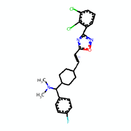 CN(C)C(c1ccc(F)cc1)C1CCC(/C=C/c2nc(-c3cccc(Cl)c3Cl)no2)CC1